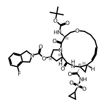 CC(C)(C)OC(=O)N[C@H]1COCCCC=C=C[C@@H]2C[C@@]2(C(=O)NS(=O)(=O)C2CC2)NC(=O)[C@@H]2C[C@@H](OC(=O)N3Cc4cccc(F)c4C3)CN2C1=O